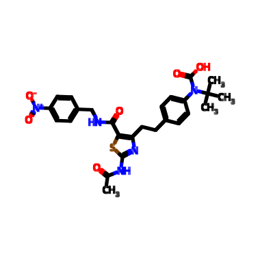 CC(=O)Nc1nc(CCc2ccc(N(C(=O)O)C(C)(C)C)cc2)c(C(=O)NCc2ccc([N+](=O)[O-])cc2)s1